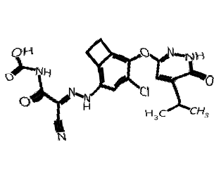 CC(C)c1cc(Oc2c(Cl)cc(N/N=C(\C#N)C(=O)NC(=O)O)c3c2CC3)n[nH]c1=O